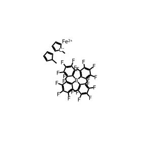 CC1C=CC=C1.C[c-]1cccc1.Fc1c(F)c(F)c([B-](c2c(F)c(F)c(F)c(F)c2F)(c2c(F)c(F)c(F)c(F)c2F)c2c(F)c(F)c(F)c(F)c2F)c(F)c1F.[Fe+2]